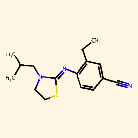 CCc1cc(C#N)ccc1N=C1SCCN1CC(C)C